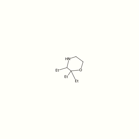 CCC1NCCOC1(CC)CC